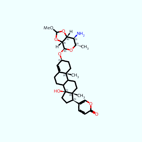 COC1O[C@@H]2[C@@H](N)[C@H](C)O[C@@H](O[C@@H]3C=C4CCC5C(CC[C@]6(C)[C@@H](c7ccc(=O)oc7)CC[C@]56O)[C@@]4(C)CC3)[C@@H]2O1